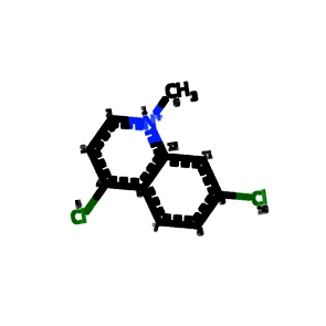 C[n+]1ccc(Cl)c2ccc(Cl)cc21